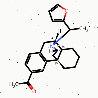 CC(=O)c1ccc2c(c1)[C@@]13CCCC[C@H]1[C@@H](C2)N(C(C)c1ccco1)CC3